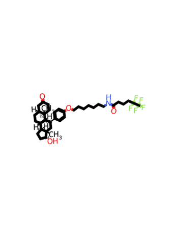 C[C@]12CCC(=O)C[C@@H]1CC[C@@H]1[C@@H]2[C@@H](c2ccc(OCCCCCCCNC(=O)CCCC(F)(F)C(F)(F)F)cc2)C[C@]2(C)[C@@H](O)CC[C@@H]12